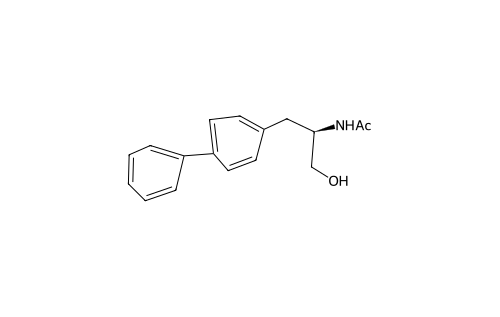 CC(=O)N[C@@H](CO)Cc1ccc(-c2ccccc2)cc1